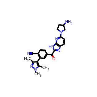 Cc1nn(C)c(C)c1-c1cc(C(=O)c2nc3ccc(N4CCC(N)C4)nc3[nH]2)ccc1C#N